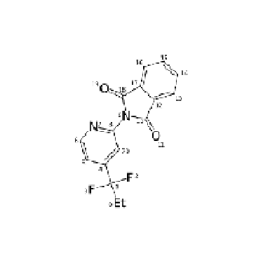 CCC(F)(F)c1ccnc(N2C(=O)c3ccccc3C2=O)c1